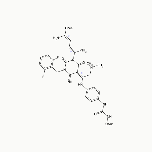 CONC(=O)Nc1ccc(N/C(CN(C)C)=C2\C(=N)N(Cc3c(F)cccc3F)C(=O)N(/C(N)=C/C=C(\N)OC)C2=O)cc1